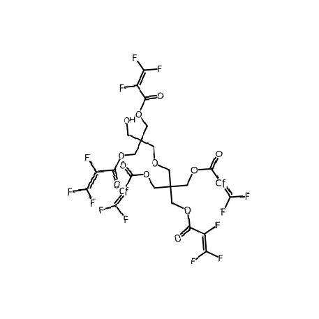 O=[C](OCC(COCC(CO)(COC(=O)C(F)=C(F)F)COC(=O)C(F)=C(F)F)(CO[C](=O)[Cf]=[C](F)F)COC(=O)C(F)=C(F)F)[Cf]=[C](F)F